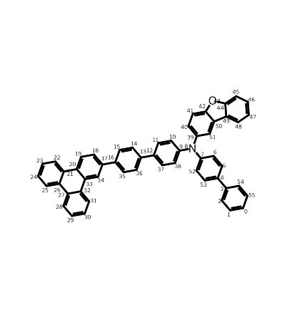 c1ccc(-c2ccc(N(c3ccc(-c4ccc(-c5ccc6c7ccccc7c7ccccc7c6c5)cc4)cc3)c3ccc4oc5ccccc5c4c3)cc2)cc1